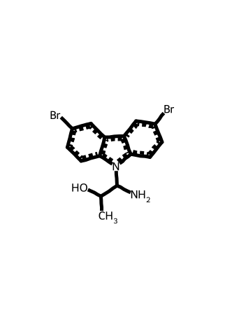 CC(O)C(N)n1c2ccc(Br)cc2c2cc(Br)ccc21